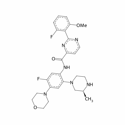 COc1cccc(F)c1-c1nccc(C(=O)Nc2cc(F)c(N3CCOCC3)cc2N2CCN[C@@H](C)C2)n1